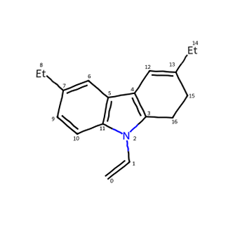 C=Cn1c2c(c3cc(CC)ccc31)C=C(CC)CC2